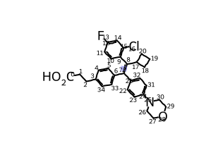 O=C(O)CCc1ccc(/C(=C(\c2ccc(F)cc2Cl)C2CCC2)c2ccc(N3CCOCC3)cc2)cc1